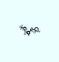 Cc1cc(Nc2nccc(C(F)(F)F)n2)cc(-c2cnc(C3CCCCNC3=O)s2)c1